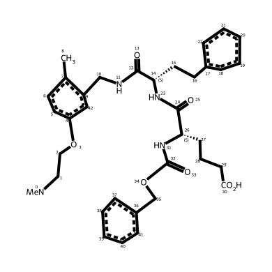 CNCCOc1ccc(C)c(CNC(=O)[C@H](CCc2ccccc2)NC(=O)[C@H](CCCC(=O)O)NC(=O)OCc2ccccc2)c1